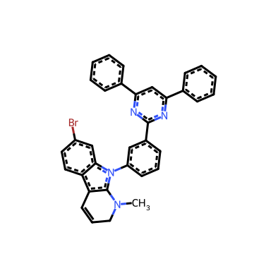 CN1CC=Cc2c1n(-c1cccc(-c3nc(-c4ccccc4)cc(-c4ccccc4)n3)c1)c1cc(Br)ccc21